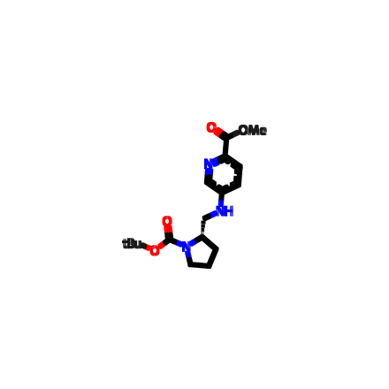 COC(=O)c1ccc(NC[C@@H]2CCCN2C(=O)OC(C)(C)C)cn1